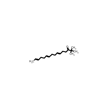 CC=CCCC=CCCC=CCCC(=O)C(C)(C)C